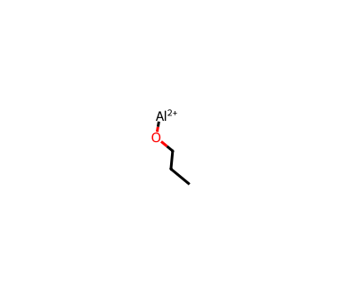 CCC[O][Al+2]